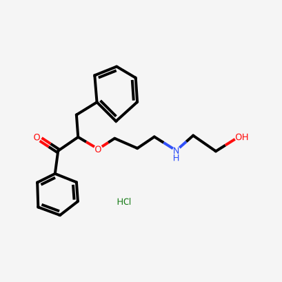 Cl.O=C(c1ccccc1)C(Cc1ccccc1)OCCCNCCO